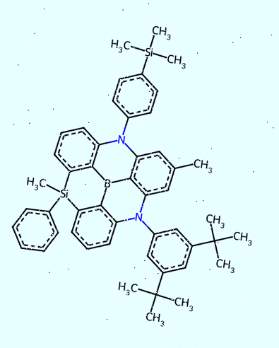 Cc1cc2c3c(c1)N(c1cc(C(C)(C)C)cc(C(C)(C)C)c1)c1cccc4c1B3c1c(cccc1[Si]4(C)c1ccccc1)N2c1ccc([Si](C)(C)C)cc1